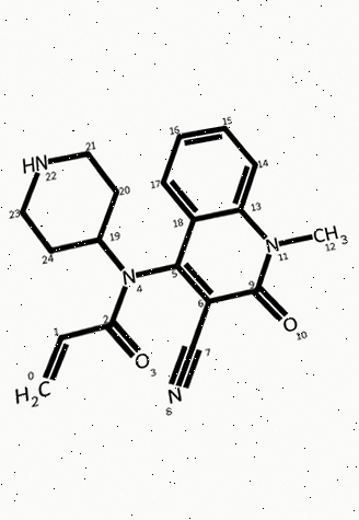 C=CC(=O)N(c1c(C#N)c(=O)n(C)c2ccccc12)C1CCNCC1